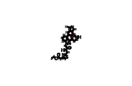 CCOC(=O)Cc1csc(CNC(=O)Cn2nc(C3CCNCC3)c3c(-c4cc5c(cnn5C)cc4F)cccc32)n1